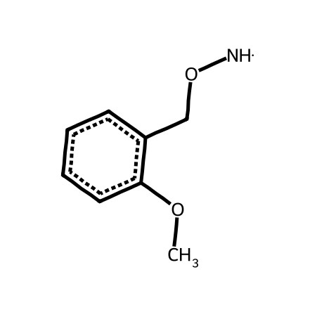 COc1ccccc1CO[NH]